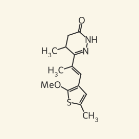 COc1sc(C)cc1C=C(C)C1=NNC(=O)CC1C